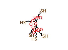 O=C(CCCS)OCC(CO)(COCC(COC(=O)CCCS)(COC(=O)CCCS)COC(=O)CCCS)COC(=O)CCCS